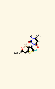 COC(=O)Cc1sc(F)c(-n2c(=O)cc(C(F)(F)F)n(C)c2=O)c1Br